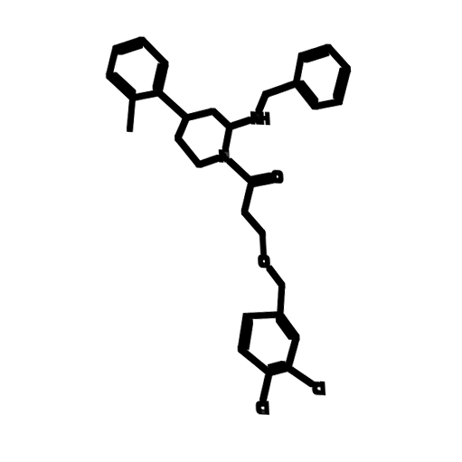 Cc1ccccc1C1CCN(C(=O)CCOCc2ccc(Cl)c(Cl)c2)C(NCc2ccccc2)C1